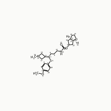 COc1ccc(SN(CCCNC(=O)O[C@H]2C[C@H]3CCO[C@H]3C2)C2CN(C)C2)cc1